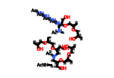 CC(=O)N(C)CC(CO)OCC(C)OCC(C)O.CC(=O)N(CC(CO)OCC(C)OCC(C)O)CC(CO)OCC(C)OCC(C)O.CC(N)=O.CC(N)=O.CC(N)=O.CC(N)=O.CNC(C)=O